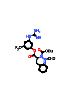 CC(C)COC(=O)N(NC=O)[C@@H](Cc1ccccc1)C(=O)Oc1cc(NC(=N)N)cc(C(F)(F)F)c1